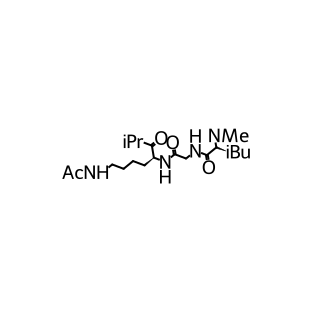 CC[C@H](C)C(NC)C(=O)NCC(=O)N[C@@H](CCCCNC(C)=O)C(=O)C(C)C